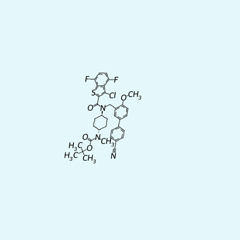 COc1ccc(-c2ccc(C#N)cc2)cc1CN(C(=O)c1sc2c(F)ccc(F)c2c1Cl)[C@H]1CC[C@H](N(C)C(=O)OC(C)(C)C)CC1